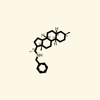 C[C@H]1CC[C@@H]2C3CC[C@@]4(C)C(CCC4[C@@H](C)NCc4ccccc4)[C@@H]3CC[C@@H]2C1